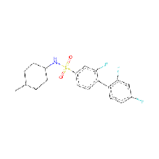 CC1CCC(NS(=O)(=O)c2ccc(-c3ccc(F)cc3F)c(F)c2)CC1